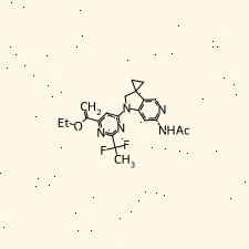 C=C(OCC)c1cc(N2CC3(CC3)c3cnc(NC(C)=O)cc32)nc(C(C)(F)F)n1